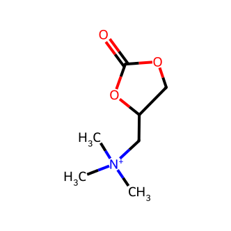 C[N+](C)(C)CC1COC(=O)O1